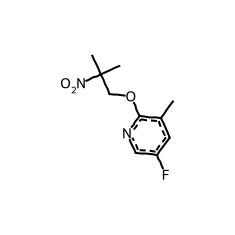 Cc1cc(F)cnc1OCC(C)(C)[N+](=O)[O-]